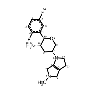 CN1CC2=C(C1)N([C@H]1CO[C@H](c3cc(F)ccc3F)[C@@H](N)C1)CC2